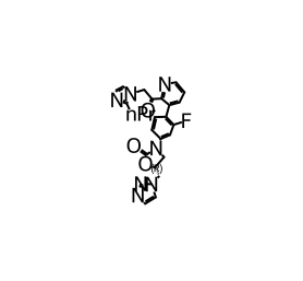 CCCc1nccn1CC(=O)c1ncccc1-c1ccc(N2C[C@H](Cn3ccnn3)OC2=O)cc1F